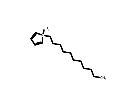 CCCCCCCCCCC[P]1(C)C=CC=C1